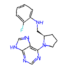 Fc1ccccc1NC[C@H]1CCCN1c1ncnc2[nH]cnc12